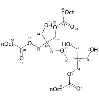 CCCCCCCCC(=O)OCC(CO)(CO)COCC(CO)(COC(=O)CCCCCCCC)COC(=O)CCCCCCCC